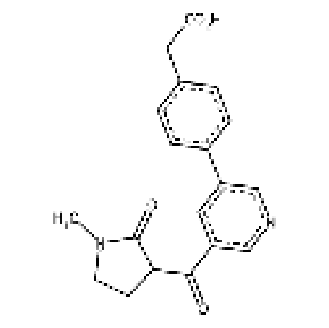 CN1CCC(C(=O)c2cncc(-c3ccc(CC(=O)O)cc3)c2)C1=O